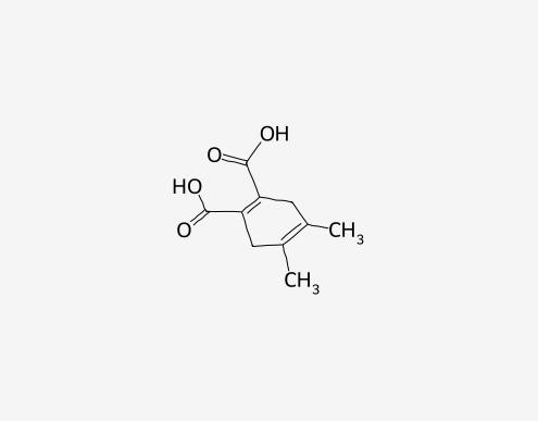 CC1=C(C)CC(C(=O)O)=C(C(=O)O)C1